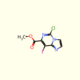 COC(=O)c1nc(Cl)n2ccnc2c1I